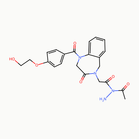 CC(=O)N(N)C(=O)CN1Cc2ccccc2N(C(=O)c2ccc(OCCO)cc2)CC1=O